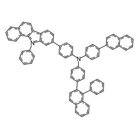 c1ccc(-c2c(-c3ccc(N(c4ccc(-c5ccc6ccccc6c5)cc4)c4ccc(-c5ccc6c7ccc8ccccc8c7n(-c7ccccc7)c6c5)cc4)cc3)ccc3ccccc23)cc1